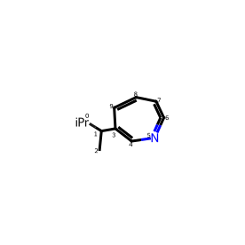 CC(C)C(C)C1=CN=C=CC=C1